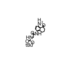 CC(C)(C)OC(=O)NCC(=O)Nc1ccc(N)c2c1CCCC2=O